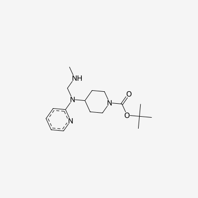 CNCN(c1ccccn1)C1CCN(C(=O)OC(C)(C)C)CC1